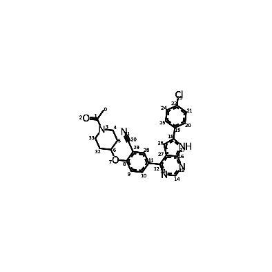 CC(=O)N1CCC(Oc2ccc(-c3ncnc4[nH]c(-c5ccc(Cl)cc5)cc34)cc2C#N)CC1